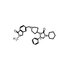 CN1Cc2cc(CN3CCC(N4C(=O)N(C5CCCCC5)C[C@H]4c4ccccc4)CC3)ccc2C1=O